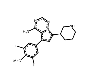 COc1c(F)cc(-c2cc([C@@H]3CCCNC3)n3ncnc(N)c23)cc1F